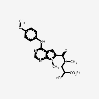 CCCC(CN(C)C(=O)c1cc2c(Nc3ccc(OC(F)(F)F)cc3)ncnc2n1C)C(=O)OCC